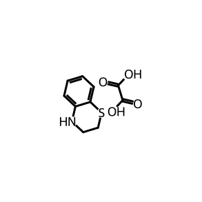 O=C(O)C(=O)O.c1ccc2c(c1)NCCS2